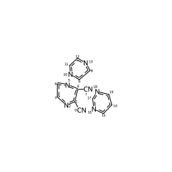 N#Cc1nccnc1C#N.c1cnccn1.c1cncnc1